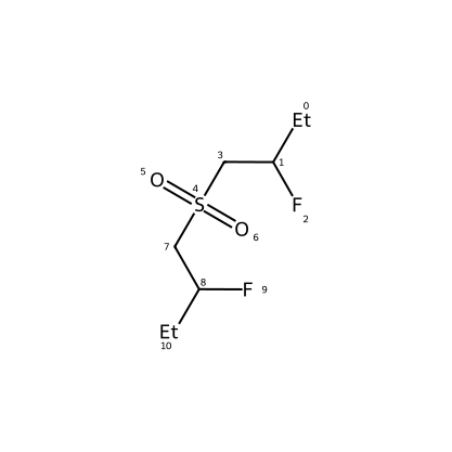 CCC(F)CS(=O)(=O)CC(F)CC